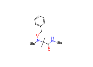 CC(C)(C)NC(=O)C(C)(C)N(OCc1ccccc1)C(C)(C)C